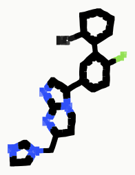 N#Cc1ccccc1-c1cc(-c2cnc3nc(Cn4ccnc4)ccn23)ccc1F